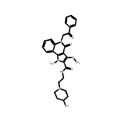 COc1c(C(=O)NCCN2CCC(O)CC2)n(C)c2c1c(=O)n(CC(=O)c1ccccc1)c1ccccc21